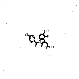 Cc1c(CC(=O)O)c2c(F)c(O)ccc2n1C(=O)c1ccc(Cl)cc1